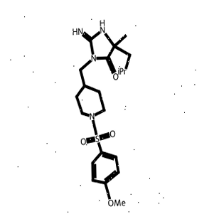 COc1ccc(S(=O)(=O)N2CCC(CN3C(=N)NC(C)(CC(C)C)C3=O)CC2)cc1